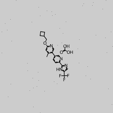 Cc1cc(OCC2CCC2)ncc1-c1ccc(-c2ncc(C(F)(F)F)[nH]2)nc1.O=C(O)O